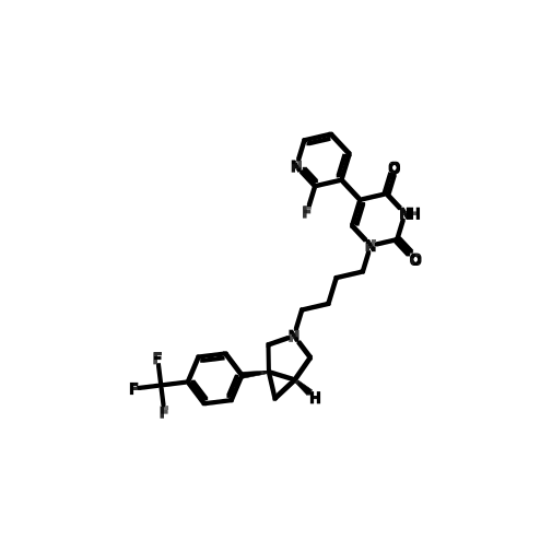 O=c1[nH]c(=O)n(CCCCN2C[C@@H]3C[C@]3(c3ccc(C(F)(F)F)cc3)C2)cc1-c1cccnc1F